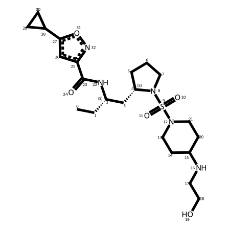 CC[C@@H](C[C@@H]1CCCN1S(=O)(=O)N1CCC(NCCO)CC1)NC(=O)c1cc(C2CC2)on1